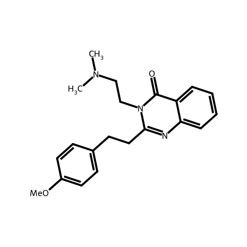 COc1ccc(CCc2nc3ccccc3c(=O)n2CCN(C)C)cc1